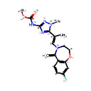 C=C1c2ccc(F)cc2OCCN1/C=C(\C)c1nc(NC(=O)OC(C)(C)C)nn1C(C)C